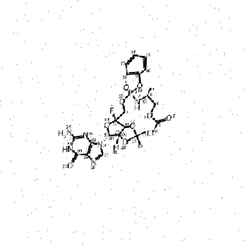 CCC(=O)OC[C@H](C)NP(=O)(OC[C@@]1(F)O[C@@H](n2cnc3c(=O)[nH]c(N)nc32)[C@H]2OC(C)(C)OC21)Oc1ccccc1